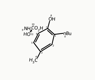 CCCCc1cc(C)ccc1O.N.O=C(O)O